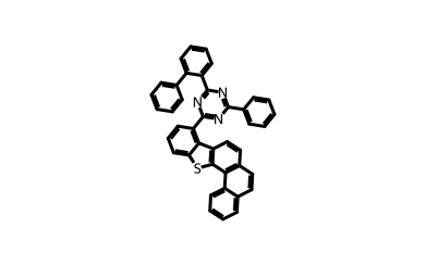 c1ccc(-c2nc(-c3ccccc3-c3ccccc3)nc(-c3cccc4sc5c(ccc6ccc7ccccc7c65)c34)n2)cc1